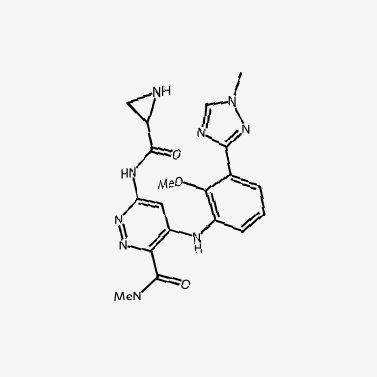 CNC(=O)c1nnc(NC(=O)C2CN2)cc1Nc1cccc(-c2ncn(C)n2)c1OC